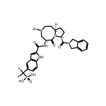 CC(=O)N1CC[C@H]2CC[C@@H](C(=O)N3Cc4ccccc4C3)N2C(=O)[C@@H](NC(=O)c2cc3cc(C(F)(F)P(=O)(O)O)ccc3[nH]2)C1